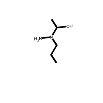 CCCN(N)C(C)O